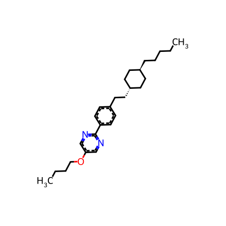 CCCCC[C@H]1CC[C@H](CCc2ccc(-c3ncc(OCCCC)cn3)cc2)CC1